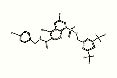 O=C(NCc1ccc(Cl)cc1)c1cnc2c(S(=O)(=O)NCc3cc(C(F)(F)F)cc(C(F)(F)F)c3)cc(F)cc2c1O